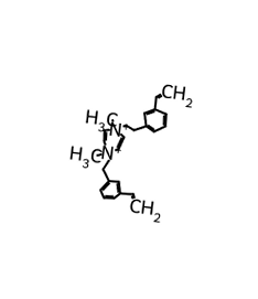 C=Cc1cccc(CC[N+]2(C)C=C[N+](C)(CCc3cccc(C=C)c3)C=C2)c1